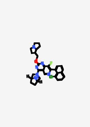 Fc1c(-c2cccc3cccc(Cl)c23)ncc2c(N3C[C@H]4CC[C@@H](C3)N4)nc(OCC3CCN4CCCC34)nc12